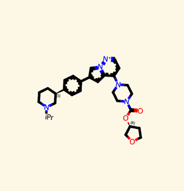 CC(C)N1CCC[C@@H](c2ccc(-c3cc4c(N5CCN(C(=O)O[C@@H]6CCOC6)CC5)cc#[n+]n4c3)cc2)C1